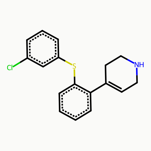 Clc1cccc(Sc2ccccc2C2=CCNCC2)c1